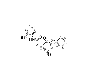 CC(C)c1ccccc1NC(=O)C[C@H]1NC(=O)CN(Cc2ccccc2)C1=O